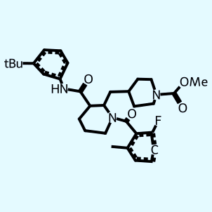 COC(=O)N1CCC(CC2C(C(=O)Nc3cccc(C(C)(C)C)c3)CCCN2C(=O)c2c(C)cccc2F)CC1